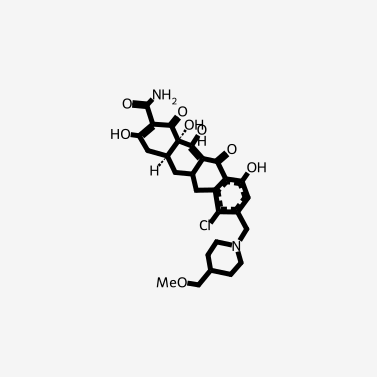 COCC1CCN(Cc2cc(O)c3c(c2Cl)CC2C[C@H]4CC(O)=C(C(N)=O)C(=O)[C@@]4(O)C(O)=C2C3=O)CC1